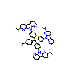 CC(C)c1ccc(C(c2ccc(-n3c4ncccc4c4ccc(C(C)C)nc43)cc2)(c2ccc(-n3c4ncccc4c4ccc(C(C)C)nc43)cc2)c2ccc(-n3c4ncccc4c4ccc(C(C)C)nc43)cc2)cc1